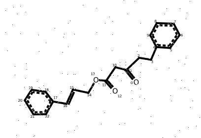 O=C(CCc1ccccc1)CC(=O)OCC=Cc1ccccc1